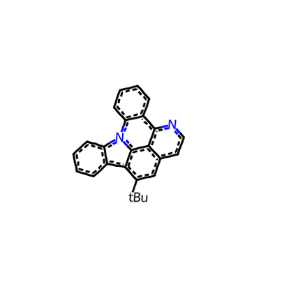 CC(C)(C)c1cc2ccnc3c4ccccc4n4c5ccccc5c1c4c23